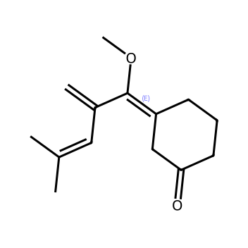 C=C(C=C(C)C)/C(OC)=C1/CCCC(=O)C1